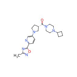 Cc1noc(-c2ccc(N3CC[C@H](C(=O)N4CCN(C5CCC5)CC4)C3)cn2)n1